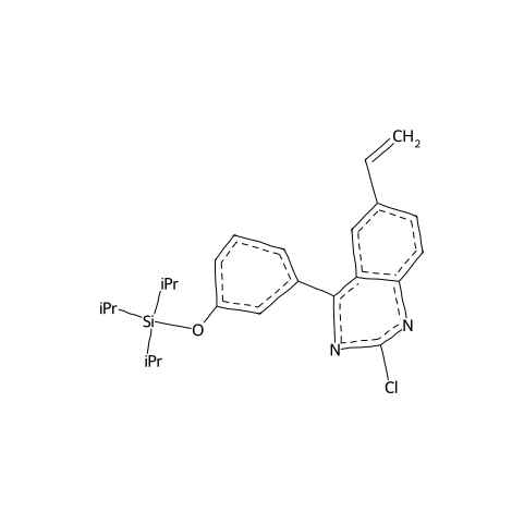 C=Cc1ccc2nc(Cl)nc(-c3cccc(O[Si](C(C)C)(C(C)C)C(C)C)c3)c2c1